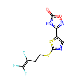 O=c1[nH]c(-c2cnc(SCCC(F)=C(F)F)s2)no1